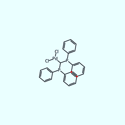 [Cl][Pd]([Cl])[CH](P(c1ccccc1)c1ccccc1)P(c1ccccc1)c1ccccc1